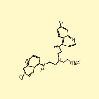 CCCCCCCCCCCCN(CCNc1ccnc2cc(Cl)ccc12)CCNc1ccnc2cc(Cl)ccc12